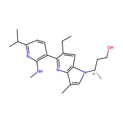 CCc1cc2c(nc1-c1ccc(C(C)C)nc1NC)c(C)cn2[C@@H](C)CCO